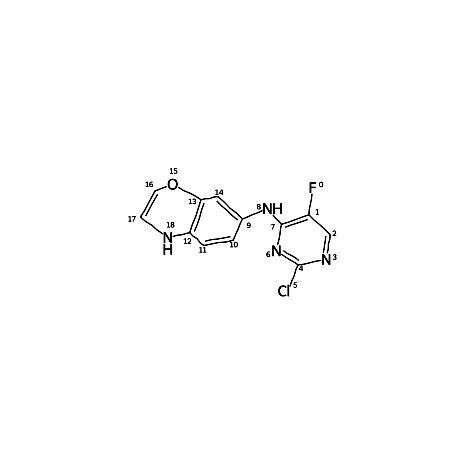 Fc1cnc(Cl)nc1Nc1ccc2c(c1)OC=CN2